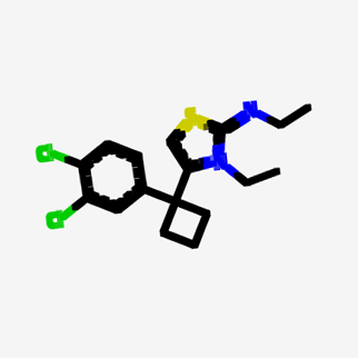 CCN=c1scc(C2(c3ccc(Cl)c(Cl)c3)CCC2)n1CC